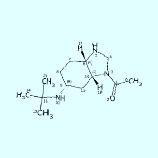 CC(=O)N1CN[C@H]2CC[C@@H](NC(C)(C)C)C[C@H]21